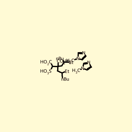 CCCCC(CC)CC(CC(CC)CCCC)(C(=O)O)C(C(=O)O)S(=O)(=O)O.Cn1ccnc1.Cn1ccnc1